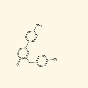 COc1ccc(-c2ccc(=O)n(Cc3ccc(C#N)cc3)c2)cc1